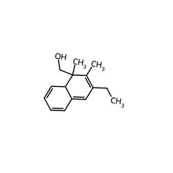 CCC1=C(C)C(C)(CO)C2C=CC=CC2=C1